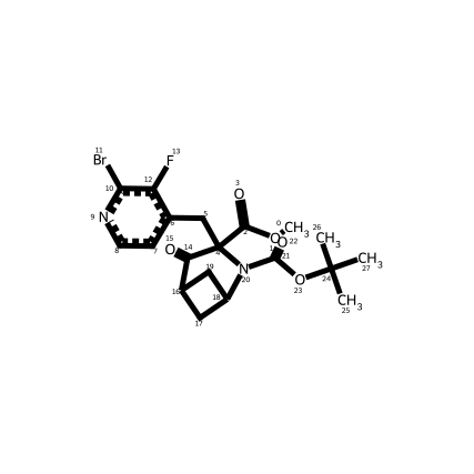 COC(=O)C1(Cc2ccnc(Br)c2F)C(=O)C2CC(C2)N1C(=O)OC(C)(C)C